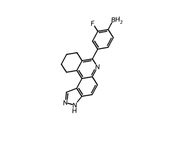 Bc1ccc(-c2nc3ccc4[nH]ncc4c3c3c2CCCC3)cc1F